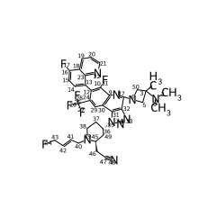 CN(C)C1(C)CN(c2nc3c(F)c(-c4ccc(F)c5cccnc45)c(C(F)(F)F)cc3c3c2nnn3[C@H]2CCN(C/C=C/CF)[C@H](CC#N)C2)C1